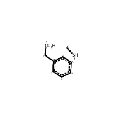 CS.O=C(O)Cc1ccccc1